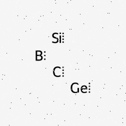 [B].[C].[Ge].[Si]